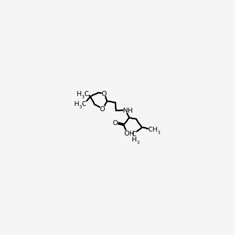 CC(C)CC(NCCC1OCC(C)(C)CO1)C(=O)O